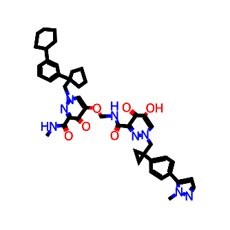 CNC(=O)c1nn(CC2(c3cccc(C4CCCCC4)c3)CCCC2)cc(OCNC(=O)c2nn(CC3(c4ccc(-c5ccnn5C)cc4)CC3)cc(O)c2=O)c1=O